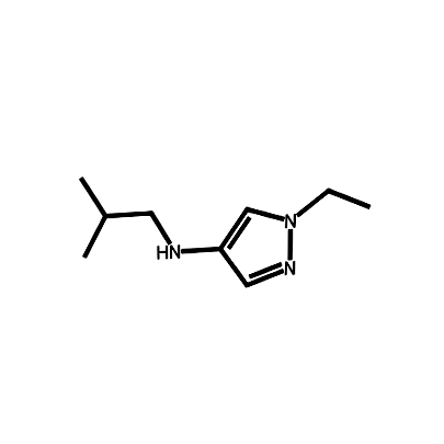 CCn1cc(NCC(C)C)cn1